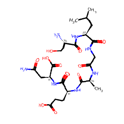 CC(C)C[C@H](NC(=O)[C@@H](N)CO)C(=O)NCC(=O)N[C@@H](C)C(=O)N[C@@H](CCC(=O)O)C(=O)N[C@@H](CC(N)=O)C(=O)O